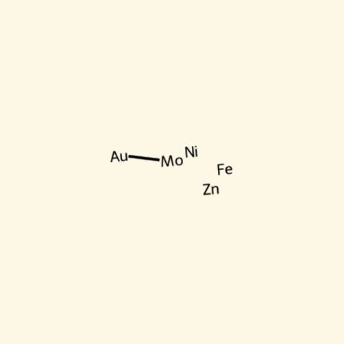 [Fe].[Mo][Au].[Ni].[Zn]